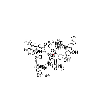 CC[C@H](CC(C)C)C(=O)N[C@H]1C(=O)C[C@@H](CC(=O)NC(=O)NC2CC2)C(=O)N[C@H]2C(=O)C[C@H]3C(=O)N[C@H](C(=O)N[C@H](C(=O)CC4C5CC6CC(C5)CC4C6)c4cc(O)cc(O)c4-c4cc3ccc4O)[C@H](O)c3ccc(c(Cl)c3)Oc3cc2cc(c3O[C@@H]2O[C@H](CN)[C@@H](O)[C@H](O)[C@H]2O)Oc2ccc(cc2Cl)[C@H]1O